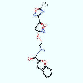 O=C(NCCOc1cc(-c2noc(C(F)(F)F)n2)on1)c1cc2ccccc2o1